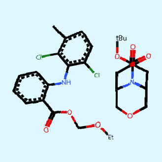 CC(C)(C)OC(=O)N1C2COCC1CC(=O)C2.CCOCOC(=O)c1ccccc1Nc1c(Cl)ccc(C)c1Cl